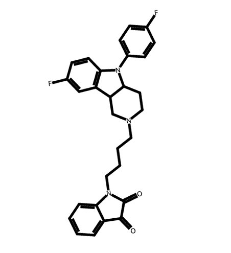 O=C1C(=O)N(CCCCN2CCC3C(C2)c2cc(F)ccc2N3c2ccc(F)cc2)c2ccccc21